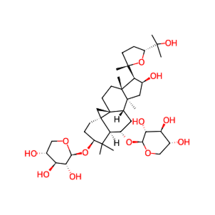 CC(C)(O)[C@H]1CC[C@@](C)([C@H]2[C@@H](O)C[C@@]3(C)[C@@H]4C[C@H](O[C@@H]5OC[C@@H](O)[C@H](O)[C@H]5O)[C@H]5C(C)(C)[C@@H](O[C@@H]6OC[C@@H](O)[C@H](O)[C@H]6O)CC[C@@]56C[C@@]46CC[C@]23C)O1